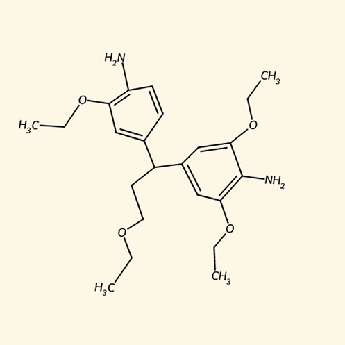 CCOCCC(c1ccc(N)c(OCC)c1)c1cc(OCC)c(N)c(OCC)c1